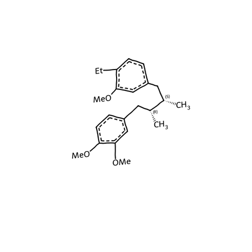 CCc1ccc(C[C@H](C)[C@H](C)Cc2ccc(OC)c(OC)c2)cc1OC